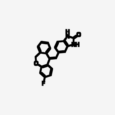 O=c1[nH]c2ccc(/C=C3\c4ccccc4COc4cc(F)ccc43)cc2[nH]1